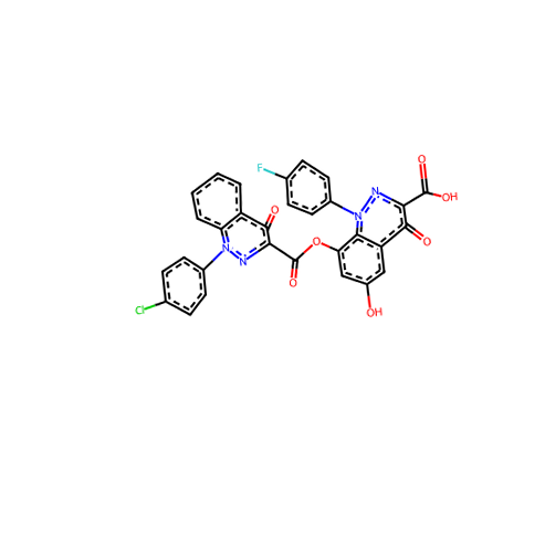 O=C(Oc1cc(O)cc2c(=O)c(C(=O)O)nn(-c3ccc(F)cc3)c12)c1nn(-c2ccc(Cl)cc2)c2ccccc2c1=O